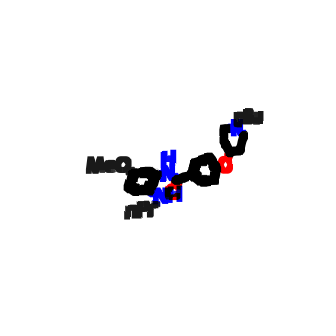 CCCCN1CCC(Oc2ccc(C(=O)Nc3cc(OC)ccc3NCCC)cc2)CC1